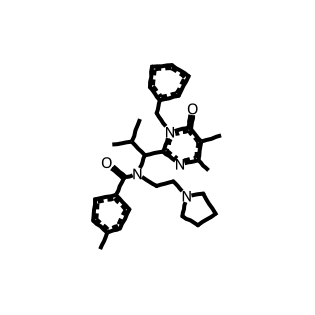 Cc1ccc(C(=O)N(CCN2CCCC2)C(c2nc(C)c(C)c(=O)n2Cc2ccccc2)C(C)C)cc1